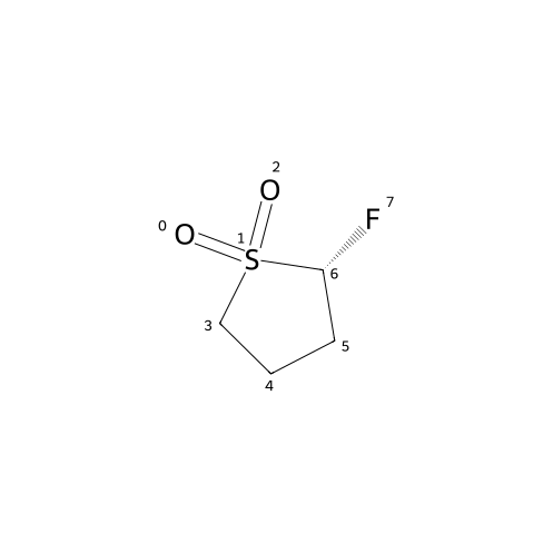 O=S1(=O)CCC[C@H]1F